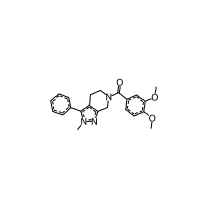 COc1ccc(C(=O)N2CCc3c(nn(C)c3-c3ccccc3)C2)cc1OC